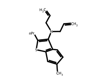 C=CCN(CC=C)c1c(CCC)sc2cc(C)ccc12